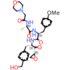 COc1ccc(C[C@H](NC(=O)[C@H](C)NC(=O)CN2CCOCC2)C(=O)N[C@@H](Cc2ccc(CO)cc2)C(=O)[C@H]2CO2)cc1